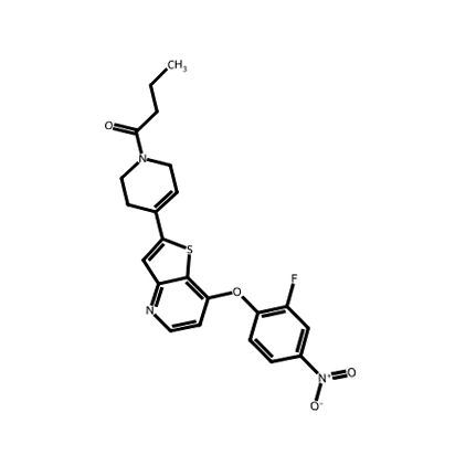 CCCC(=O)N1CC=C(c2cc3nccc(Oc4ccc([N+](=O)[O-])cc4F)c3s2)CC1